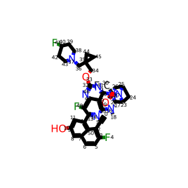 C#Cc1c(F)ccc2cc(O)cc(-c3nc(N(C)C)c4c(N5CC6CC(C5)N6C(=O)C(F)(F)F)nc(OCC5(CN6CCC(F)CC6)CC5)nc4c3F)c12